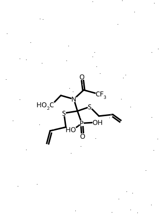 C=CCSC(SCC=C)(N(CC(=O)O)C(=O)C(F)(F)F)P(=O)(O)O